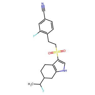 CC(F)C1CCc2c(S(=O)(=O)CCc3ccc(C#N)cc3F)c[nH]c2C1